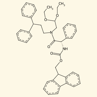 CCOC(CN(CCC(c1ccccc1)c1ccccc1)C(=O)[C@@H](NC(=O)OCC1c2ccccc2-c2ccccc21)c1ccccc1)OCC